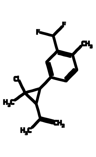 C=C(C)C1C(c2ccc(C)c(C(F)F)c2)C1(C)Cl